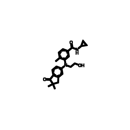 Cc1ccc(C(=O)NC2CC2)cc1N(CCO)c1ccc2c(c1)CC(C)(C)C2=O